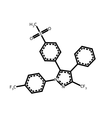 CS(=O)(=O)c1ccc(-c2c(-c3ccccc3)c(C(F)(F)F)nn2-c2ccc(C(F)(F)F)cc2)cc1